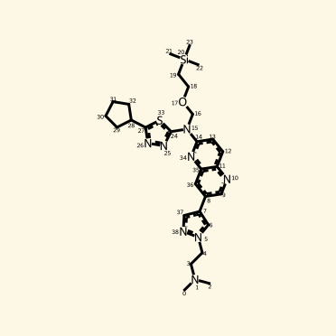 CN(C)CCn1cc(-c2cnc3ccc(N(COCC[Si](C)(C)C)c4nnc(C5CCCC5)s4)nc3c2)cn1